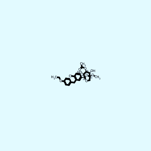 CCOc1ccc(Cc2cc([C@]34OC[C@](OC)(O3)[C@@H](O)[C@H](OC(C)=O)[C@H]4O)ccc2Cl)cc1